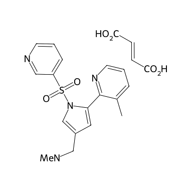 CNCc1cc(-c2ncccc2C)n(S(=O)(=O)c2cccnc2)c1.O=C(O)C=CC(=O)O